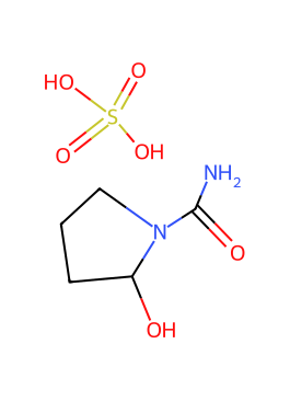 NC(=O)N1CCCC1O.O=S(=O)(O)O